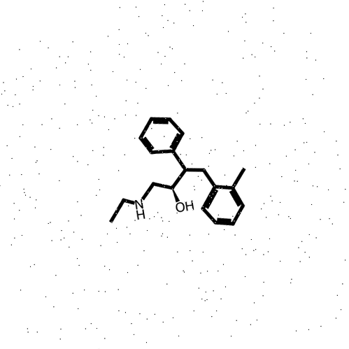 CCNC[C@H](O)C(Cc1ccccc1C)c1ccccc1